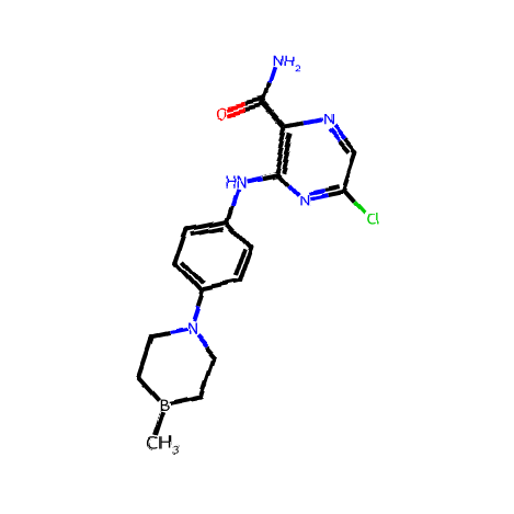 CB1CCN(c2ccc(Nc3nc(Cl)cnc3C(N)=O)cc2)CC1